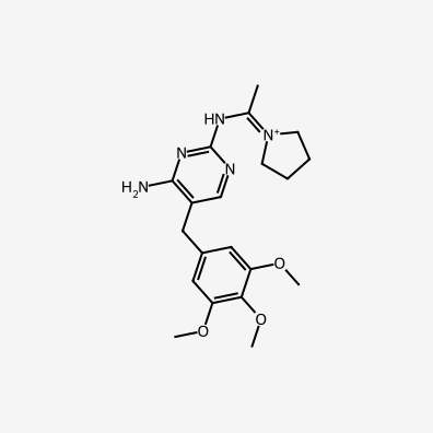 COc1cc(Cc2cnc(NC(C)=[N+]3CCCC3)nc2N)cc(OC)c1OC